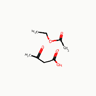 CC(=O)CC(=O)O.CCOC(C)=O